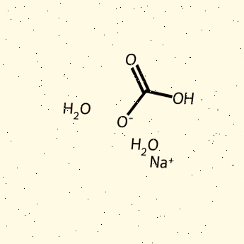 O.O.O=C([O-])O.[Na+]